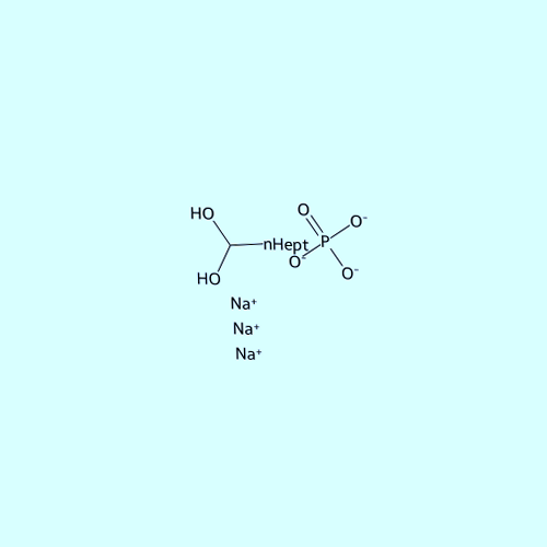 CCCCCCCC(O)O.O=P([O-])([O-])[O-].[Na+].[Na+].[Na+]